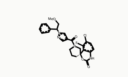 COCC(c1ccccc1)n1cc(C(=O)N2CCC[C@@]3(C2)OC(=O)Nc2ccc(Cl)c(F)c23)cn1